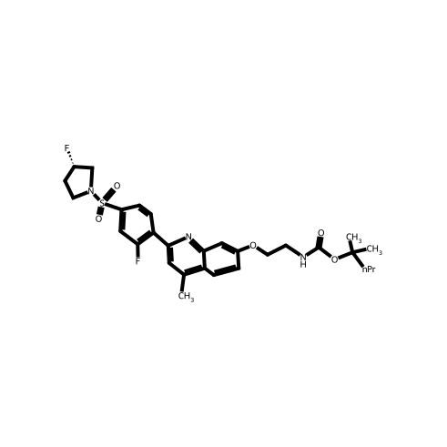 CCCC(C)(C)OC(=O)NCCOc1ccc2c(C)cc(-c3ccc(S(=O)(=O)N4CC[C@H](F)C4)cc3F)nc2c1